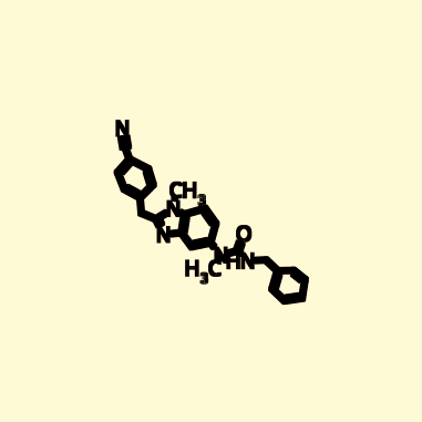 CN(C(=O)NCc1ccccc1)c1ccc2c(c1)nc(Cc1ccc(C#N)cc1)n2C